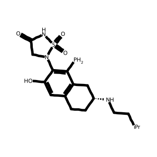 CC(C)CCN[C@@H]1CCc2cc(O)c(N3CC(=O)NS3(=O)=O)c(P)c2C1